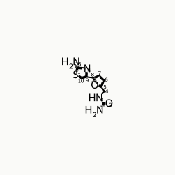 NC(=O)NCc1ccc(-c2csc(N)n2)o1